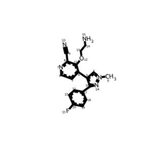 Cn1cc(-c2ccnc(C#N)c2OCCN)c(-c2ccc(F)cc2)n1